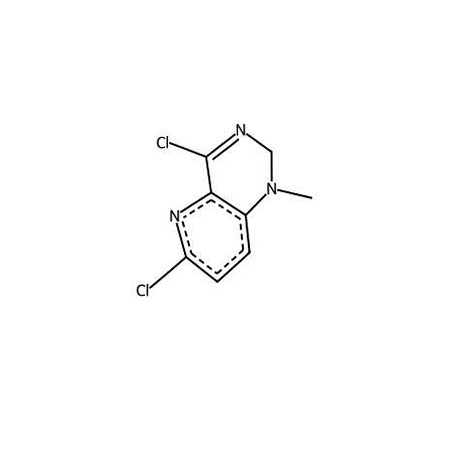 CN1CN=C(Cl)c2nc(Cl)ccc21